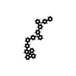 c1ccc(-c2ccc(-n3c4ccccc4c4cc(-c5ccc6c(c5)c5ccccc5n6-c5ccc(-c6cccc(-c7ccc(-c8cccc(C9(c%10ccccc%10)c%10ccccc%10-c%10ccccc%109)c8)cc7)c6)cc5)ccc43)cc2)cc1